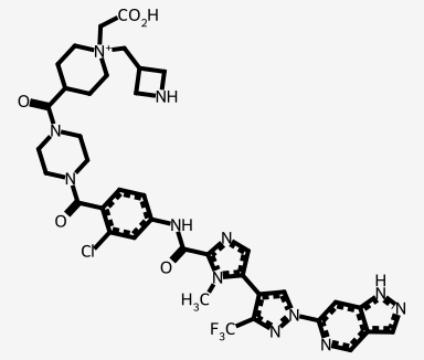 Cn1c(-c2cn(-c3cc4[nH]ncc4cn3)nc2C(F)(F)F)cnc1C(=O)Nc1ccc(C(=O)N2CCN(C(=O)C3CC[N+](CC(=O)O)(CC4CNC4)CC3)CC2)c(Cl)c1